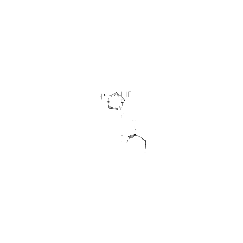 COC(=O)CF.F.c1cc[nH]c1